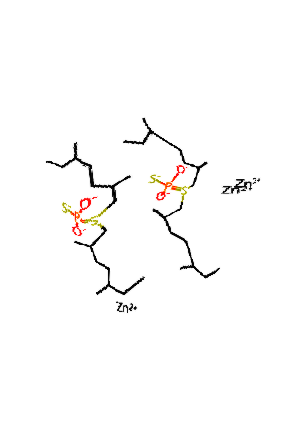 CCC(C)CCC(C)CS(CC(C)CCC(C)CC)=P([O-])([O-])[S-].CCC(C)CCC(C)CS(CC(C)CCC(C)CC)=P([O-])([O-])[S-].[Zn+2].[Zn+2].[Zn+2]